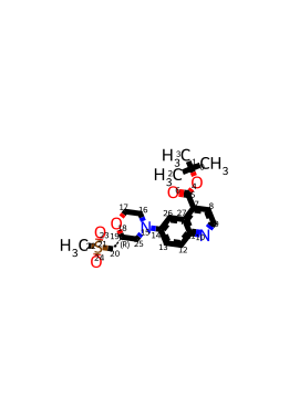 CC(C)(C)OC(=O)c1ccnc2ccc(N3CCO[C@@H](CS(C)(=O)=O)C3)cc12